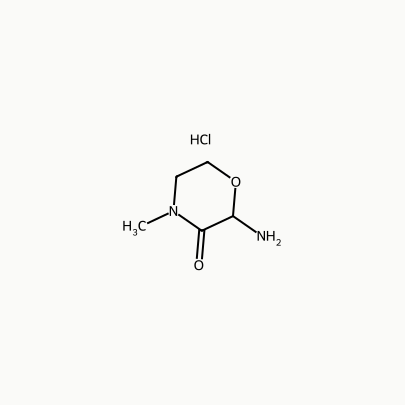 CN1CCOC(N)C1=O.Cl